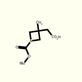 CC1(CC(=O)O)CN(C(=O)OC(C)(C)C)C1